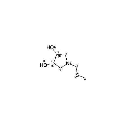 CSCN1C[C@@H](O)[C@@H](O)C1